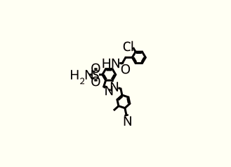 CC1C=C(Cn2ncc3c(S(N)(=O)=O)cc(NC(=O)Cc4ccccc4Cl)cc32)C=CC1C#N